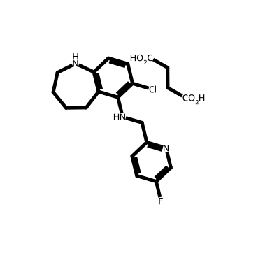 Fc1ccc(CNc2c(Cl)ccc3c2CCCCN3)nc1.O=C(O)CCC(=O)O